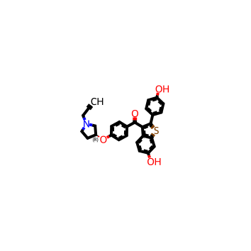 C#CCN1CC[C@@H](Oc2ccc(C(=O)c3c(-c4ccc(O)cc4)sc4cc(O)ccc34)cc2)C1